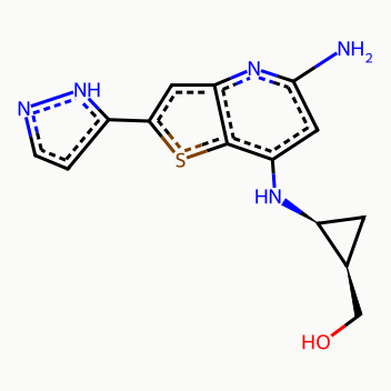 Nc1cc(N[C@H]2C[C@H]2CO)c2sc(-c3ccn[nH]3)cc2n1